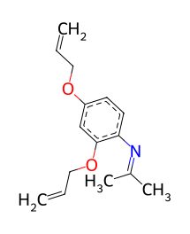 C=CCOc1ccc(N=C(C)C)c(OCC=C)c1